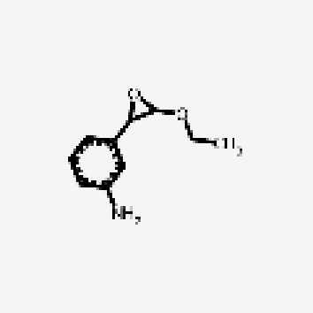 CCOC1OC1c1cccc(N)c1